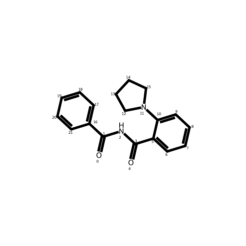 O=C(NC(=O)c1ccccc1N1CCCC1)c1ccccc1